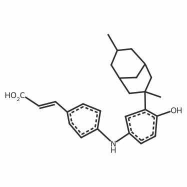 CC1CC2CC(C1)CC(C)(c1cc(Nc3ccc(/C=C/C(=O)O)cc3)ccc1O)C2